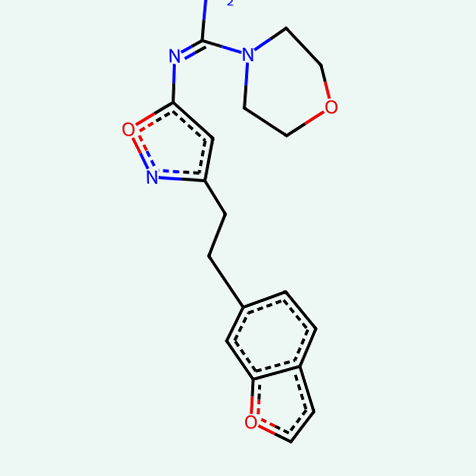 NC(=Nc1cc(CCc2ccc3ccoc3c2)no1)N1CCOCC1